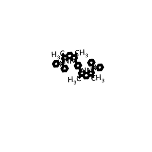 Cc1cc(-c2ccc(-c3cc(C)c4ccc5c(C)cc(N(c6ccccc6)c6ccccc6)nc5c4n3)cc2)nc2c1ccc1c(C)cc(N(c3ccccc3)c3ccccc3)nc12